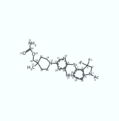 CC(=O)N1CC(F)(F)c2c(Sc3ncc(N4CCC(C)(COC(N)=O)CC4)nc3N)cccc21